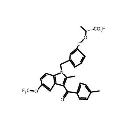 Cc1ccc(C(=O)c2c(C)n(Cc3cccc(CO[C@H](C)C(=O)O)c3)c3ccc(OC(F)(F)F)cc23)cc1